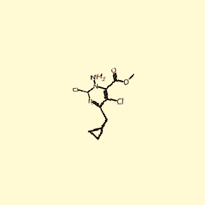 COC(=O)C1=C(Cl)C(CC2CC2)=NC(Cl)N1N